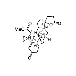 COC(=O)[C@H]1C2C3CC[C@@]4(CCC(=O)O4)[C@@]3(C)C[C@H]3O[C@@]23[C@@]2(C)CCC(=O)C=C2C12CC2